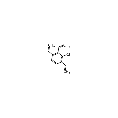 C=Cc1ccc(C=C)c(C=C)c1Cl